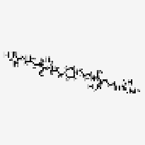 CNC(=N)NCCC[C@H](N)C(=O)NCCCN1CCN(CCCNC(=O)[C@@H](N)CCCNC(=N)N)CC1